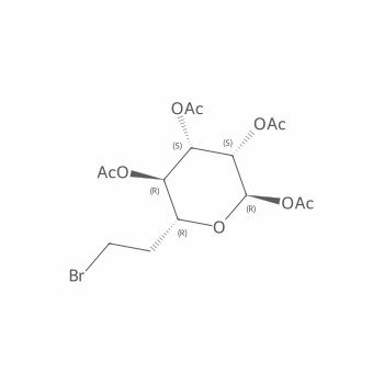 CC(=O)O[C@H]1O[C@H](CCBr)[C@@H](OC(C)=O)[C@H](OC(C)=O)[C@@H]1OC(C)=O